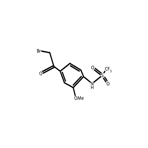 COc1cc(C(=O)CBr)ccc1NS(=O)(=O)C(F)(F)F